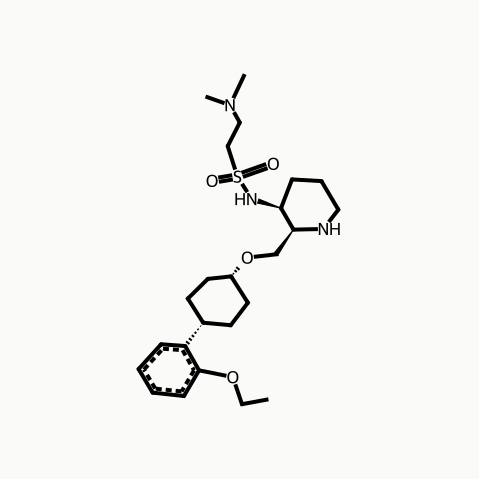 CCOc1ccccc1[C@H]1CC[C@@H](OC[C@@H]2NCCC[C@@H]2NS(=O)(=O)CCN(C)C)CC1